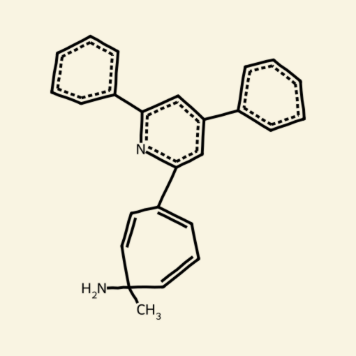 CC1(N)C=CC=C(c2cc(-c3ccccc3)cc(-c3ccccc3)n2)C=C1